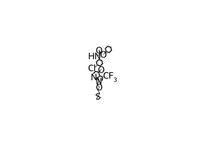 CS(C)(C)CCOCn1cc(C(F)(F)F)c2c(Oc3ccc(NC(=O)Oc4ccccc4)cc3Cl)ccnc21